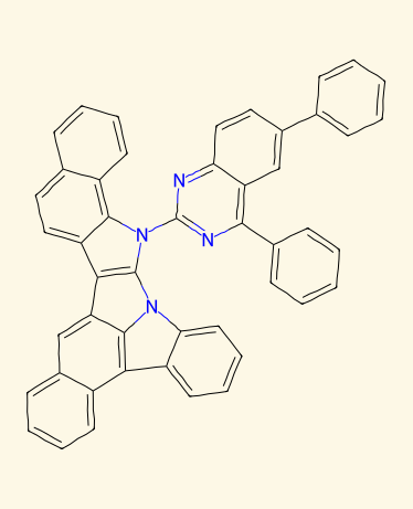 c1ccc(-c2ccc3nc(-n4c5c6ccccc6ccc5c5c6cc7ccccc7c7c8ccccc8n(c67)c54)nc(-c4ccccc4)c3c2)cc1